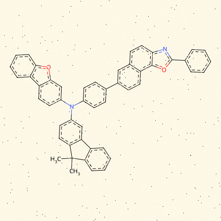 CC1(C)c2ccccc2-c2cc(N(c3ccc(-c4ccc5c(ccc6nc(-c7ccccc7)oc65)c4)cc3)c3ccc4c(c3)oc3ccccc34)ccc21